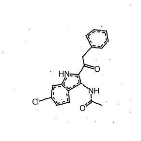 CC(=O)Nc1c(C(=O)Cc2ccccc2)[nH]c2cc(Cl)ccc12